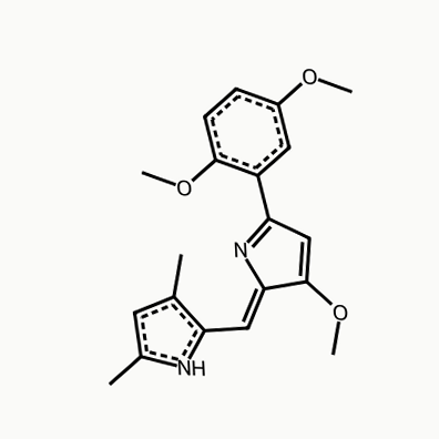 COC1=CC(c2cc(OC)ccc2OC)=NC1=Cc1[nH]c(C)cc1C